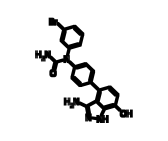 NC(=O)N(c1ccc(-c2ccc(O)c3[nH]nc(N)c23)cc1)c1cccc(Br)c1